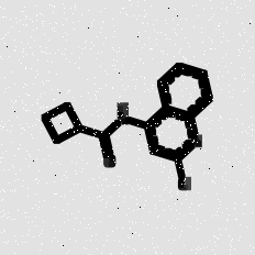 O=C(Nc1cc(Cl)nc2ccccc12)C1CCC1